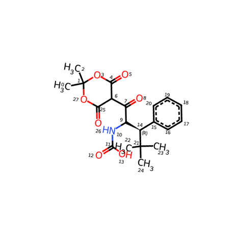 CC1(C)OC(=O)C(C(=O)C(NC(=O)O)[C@@H](c2ccccc2)C(C)(C)C)C(=O)O1